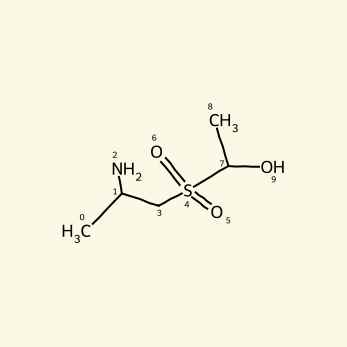 CC(N)CS(=O)(=O)C(C)O